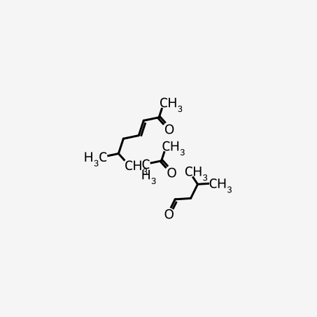 CC(=O)C=CCC(C)C.CC(C)=O.CC(C)CC=O